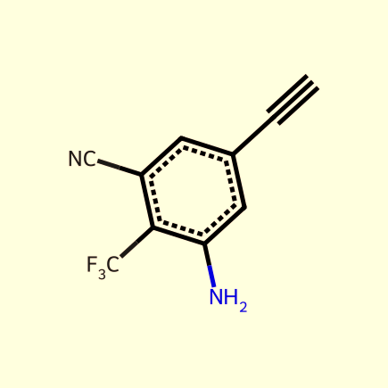 C#Cc1cc(N)c(C(F)(F)F)c(C#N)c1